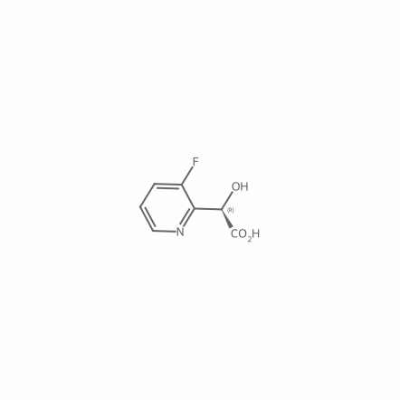 O=C(O)[C@H](O)c1ncccc1F